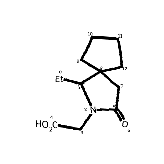 CCC1N(CC(=O)O)C(=O)CC12CCCC2